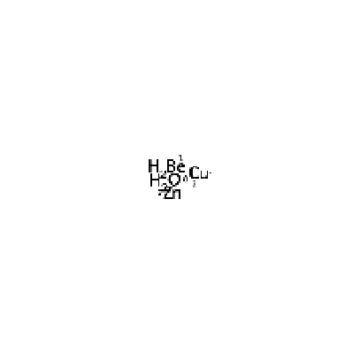 O.[BeH2].[Cu].[Zn]